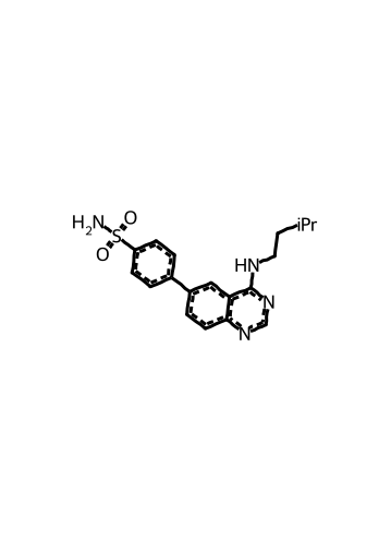 CC(C)CCNc1ncnc2ccc(-c3ccc(S(N)(=O)=O)cc3)cc12